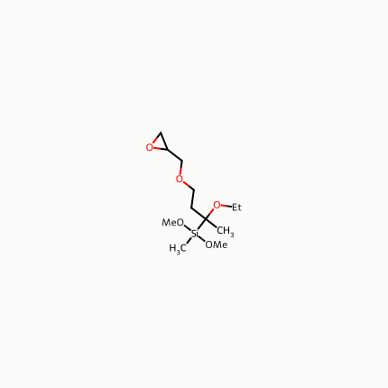 CCOC(C)(CCOCC1CO1)[Si](C)(OC)OC